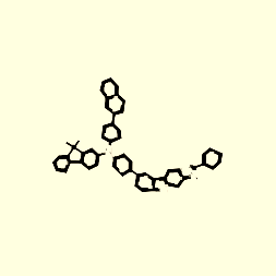 CC1(C)c2ccccc2-c2ccc(N(c3ccc(-c4ccc5ccccc5c4)cc3)c3ccc(-c4ccc5oc6cc7nc(-c8ccccc8)oc7cc6c5c4)cc3)cc21